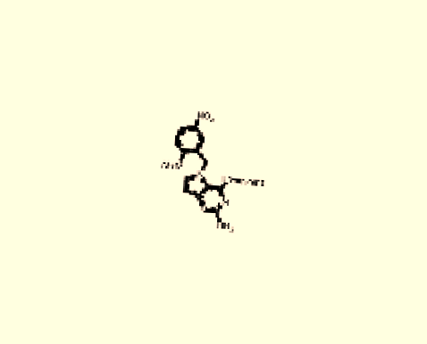 CCCCCNc1nc(N)nc2ccn(Cc3cc([N+](=O)[O-])ccc3OC)c12